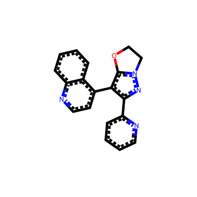 c1ccc(-c2nn3c(c2-c2ccnc4ccccc24)OCC3)nc1